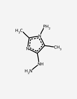 Cc1nc(NN)c(C)n1P